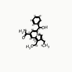 CCc1cn2c(C(O)c3ccccc3)cc(C(N)=O)cc2c1CC